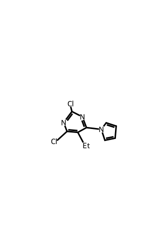 CCc1c(Cl)nc(Cl)nc1-n1cccc1